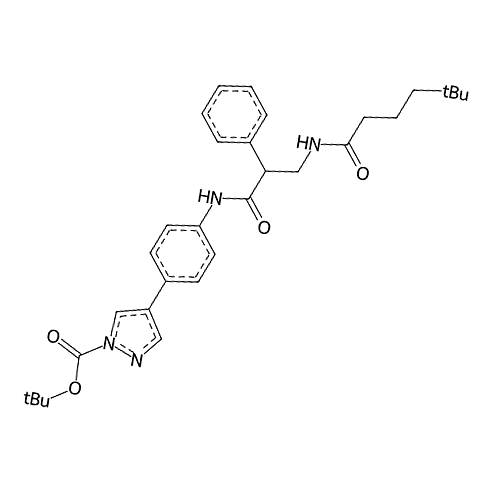 CC(C)(C)CCCC(=O)NCC(C(=O)Nc1ccc(-c2cnn(C(=O)OC(C)(C)C)c2)cc1)c1ccccc1